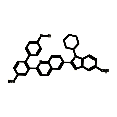 CCOc1ccc(-c2ccc(OC)cc2-c2ccc3cc(-c4nc5cc(C(=O)O)ccc5n4C4CCCCC4)ccc3n2)cc1